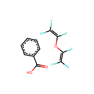 FC(F)=C(F)OC(F)=C(F)F.O=C(O)c1ccccc1